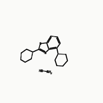 NS.c1cc(C2CCCCC2)c2nc(C3CCCCC3)sc2c1